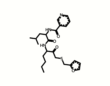 CCCCC(NC(=O)C(CC(C)C)NC(=O)c1cccnc1)C(=O)CSCc1ccco1